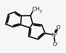 CC1c2ccccc2-c2ccc([N+](=O)[O-])cc21